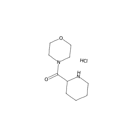 Cl.O=C(C1CCCCN1)N1CCOCC1